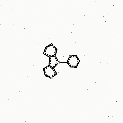 c1ccc(-n2c3ccccc3c3ccncc32)cc1